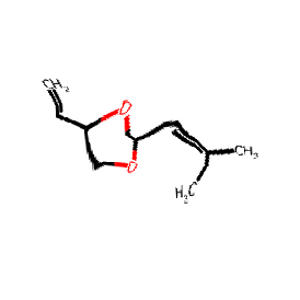 C=CC1COC(C=C(C)C)O1